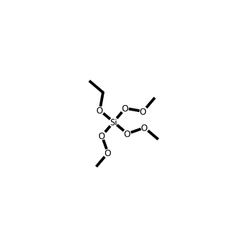 CCO[Si](OOC)(OOC)OOC